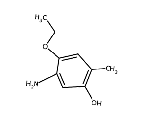 CCOc1cc(C)c(O)cc1N